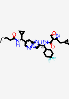 O=C(CCC(F)(F)F)N[C@@H](c1cnn2cc([C@@H](NC(=O)c3conc3CC3CC3)C3CCC(F)(F)CC3)nc2c1)C1CC1